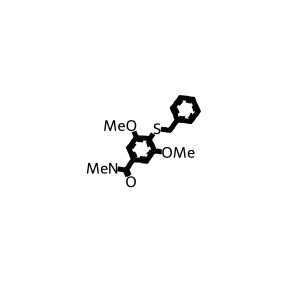 CNC(=O)c1cc(OC)c(SCc2ccccc2)c(OC)c1